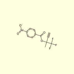 C#CC(C)(OC(=O)c1ccc([N+](=O)[O-])cc1)C(F)(F)F